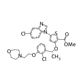 COC(=O)c1sc(-n2cnc3cc(Cl)ccc32)cc1O[C@H](C)c1cccc(OCCN2CCOCC2)c1Cl